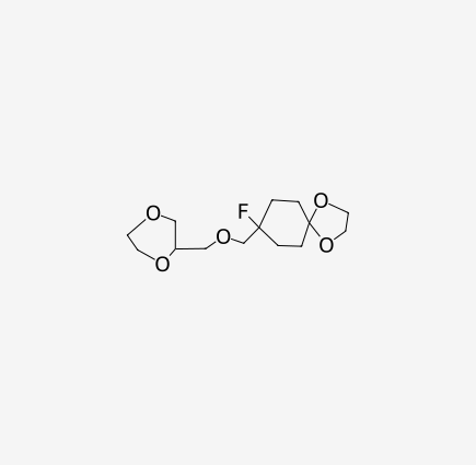 FC1(COCC2COCCO2)CCC2(CC1)OCCO2